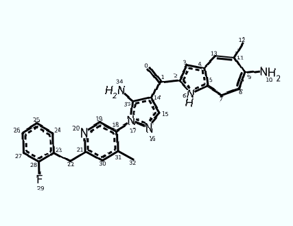 C=C(c1cc2c([nH]1)CC=C(N)C(C)=C2)c1cnn(-c2cnc(Cc3ccccc3F)cc2C)c1N